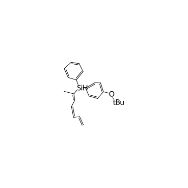 C=C/C=C\C=C(/C)[SiH](c1ccccc1)c1ccc(OC(C)(C)C)cc1